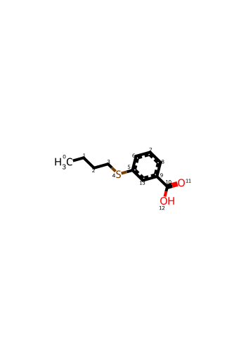 CCCCSc1cccc(C(=O)O)c1